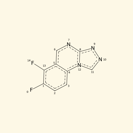 Fc1ccc2c(cnc3nncn32)c1F